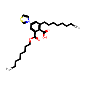 CCCCCCCCOC(=O)c1cccc(CCCCCCCC)c1C(=O)O.c1cscn1